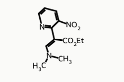 CCOC(=O)/C(=C\N(C)C)c1ncccc1[N+](=O)[O-]